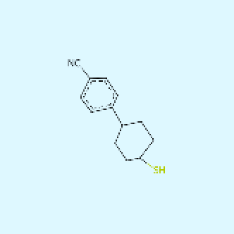 N#Cc1ccc(C2CCC(S)CC2)cc1